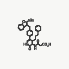 CCCCc1oc2ccccc2c1Cc1ccc(-c2c[nH]c(=O)c(NC(=O)CC(=O)O)c2CCCc2ccccc2)cc1